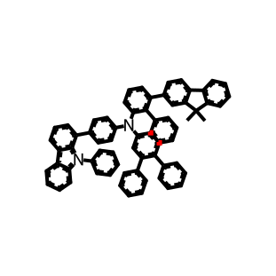 CC1(C)c2ccccc2-c2ccc(-c3cccc(N(c4ccc(-c5cccc6c7ccccc7n(-c7ccccc7)c56)cc4)c4ccc(-c5ccccc5)c(-c5ccccc5)c4)c3-c3ccccc3)cc21